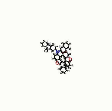 CC1(C)c2ccccc2-c2ccc(N(c3ccc4ccccc4c3)c3ccc4oc5c6ccccc6ccc5c4c3-c3cccc4oc5ccccc5c34)cc21